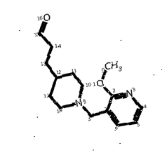 COc1ncccc1CN1CCC(CCC=O)CC1